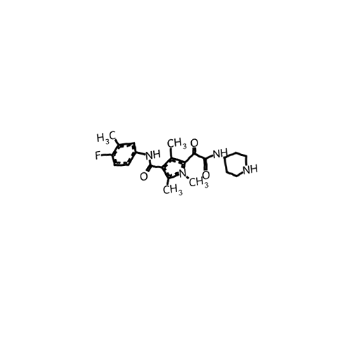 Cc1cc(NC(=O)c2c(C)c(C(=O)C(=O)NC3CCNCC3)n(C)c2C)ccc1F